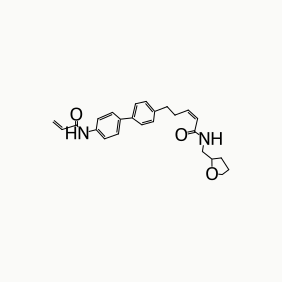 C=CC(=O)Nc1ccc(-c2ccc(CC/C=C\C(=O)NCC3CCCO3)cc2)cc1